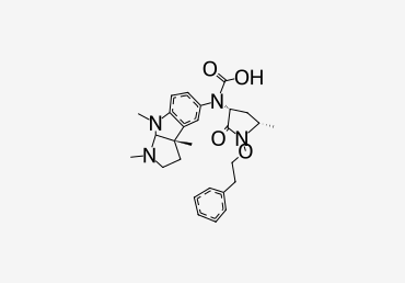 C[C@H]1C[C@@H](N(C(=O)O)c2ccc3c(c2)[C@]2(C)CCN(C)C2N3C)C(=O)N1OCCc1ccccc1